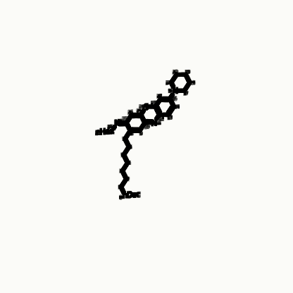 CCCCCCCCCCCCCCCCCc1cc2nc3ccc(N4CCCCC4)cc3sc-2c/c1=N/CCCCCC